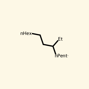 CCCC[CH]C(CC)CCCCCCCC